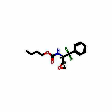 CCCCOC(=O)N[C@H]([C@@H]1CO1)C(F)(F)c1ccccc1